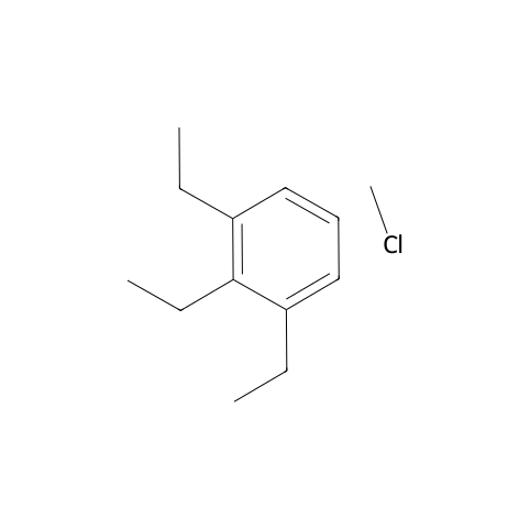 CCc1cccc(CC)c1CC.CCl